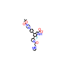 COC(=O)c1cc2c(-c3ccc(N4CCN(C(=O)OC(C)(C)C)CC4)cc3)cc(C3=CCCN(C(=O)CCn4cccn4)C3)c(F)c2[nH]1